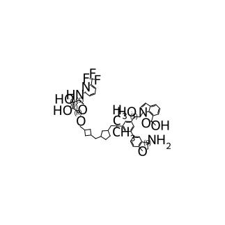 CC(C)(CC1CCC(CC2CC(COC[C@H]3OC[C@H](Nc4cccc(C(F)(F)F)n4)[C@@H](O)[C@H]3O)C2)C1)c1cc(-c2ccc3c(c2)[C@H](N)CO3)cc([C@H](O)Cn2ccc3cccc(C(=O)O)c32)c1